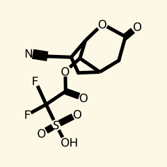 N#CC1CC2CC(=O)OC1C2OC(=O)C(F)(F)S(=O)(=O)O